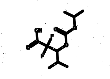 CC(C)OC(=O)OC(C(C)C)C(F)(F)C(=O)O